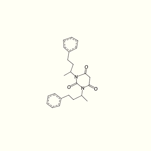 CC(CCc1ccccc1)N1C(=O)CC(=O)N(C(C)CCc2ccccc2)C1=O